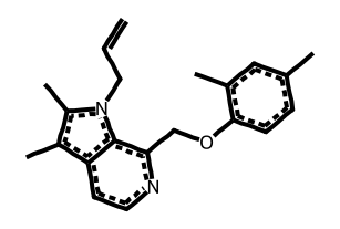 C=CCn1c(C)c(C)c2ccnc(COc3ccc(C)cc3C)c21